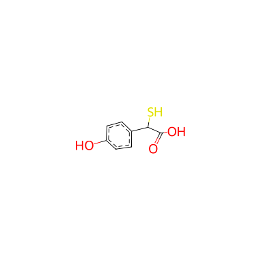 O=C(O)C(S)c1ccc(O)cc1